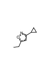 CCc1cc(C2CC2)no1